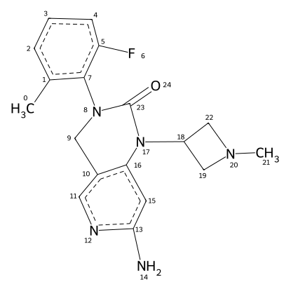 Cc1cccc(F)c1N1Cc2cnc(N)cc2N(C2CN(C)C2)C1=O